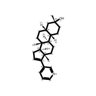 C[C@@]1(O)CC[C@H]2[C@H](CC[C@@H]3[C@@H]2CC[C@]2(C)C(c4cccnc4)=CC[C@@H]32)C1